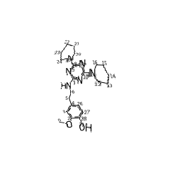 COc1cc(CCNc2nc(N3CCCCC3)nc(N3CCCCC3)n2)ccc1O